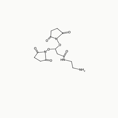 NCCNC(=O)CC(ON1C(=O)CCC1=O)ON1C(=O)CCC1=O